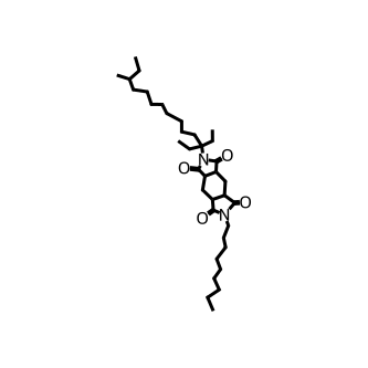 CCCCCCCCCN1C(=O)C2CC3C(=O)N(C(CC)(CC)CCCCCCCCC(C)CC)C(=O)C3CC2C1=O